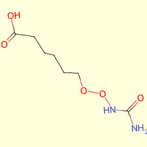 NC(=O)NOOCCCCCC(=O)O